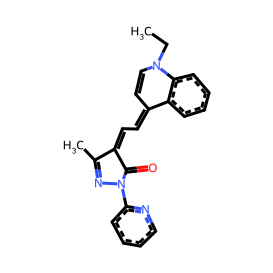 CCN1C=C/C(=C\C=C2/C(=O)N(c3ccccn3)N=C2C)c2ccccc21